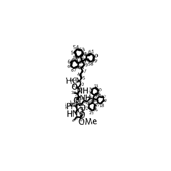 COC(=O)C(C)NC(=O)C(NC(=O)C(CCC(c1ccccc1)(c1ccccc1)c1ccccc1)NC(=O)C(C)NC(=O)CC(O)C=CCCCC(c1ccccc1)(c1ccccc1)c1ccccc1)C(C)C